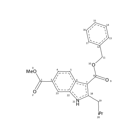 COC(=O)c1ccc2c(C(=O)OCc3ccccc3)c(CC(C)C)[nH]c2c1